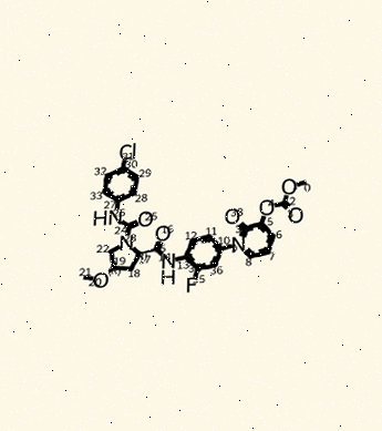 COC(=O)Oc1cccn(-c2ccc(NC(=O)[C@H]3C[C@@H](OC)CN3C(=O)Nc3ccc(Cl)cc3)c(F)c2)c1=O